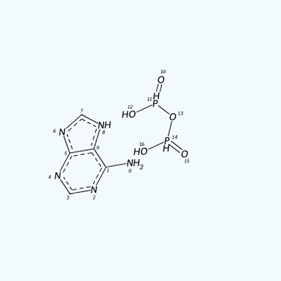 Nc1ncnc2nc[nH]c12.O=[PH](O)O[PH](=O)O